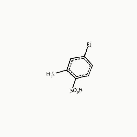 CCc1ccc(S(=O)(=O)O)c(C)c1